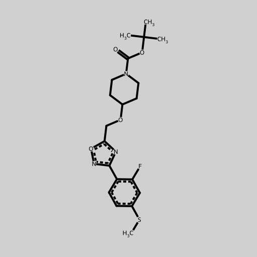 CSc1ccc(-c2noc(COC3CCN(C(=O)OC(C)(C)C)CC3)n2)c(F)c1